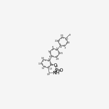 Cc1ccc(-c2ccc(-c3cccc4c3OS(=O)NC4)cc2)cc1